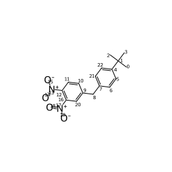 CC(C)(C)c1ccc(Cc2ccc([N+](=O)[O-])c([N+](=O)[O-])c2)cc1